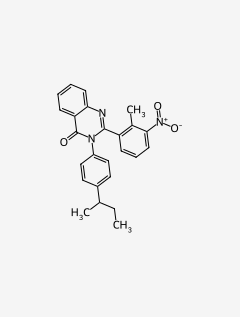 CCC(C)c1ccc(-n2c(-c3cccc([N+](=O)[O-])c3C)nc3ccccc3c2=O)cc1